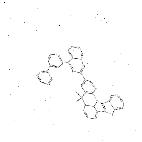 CC1(C)c2cc(-c3nc(-c4cccc(-c5ccccc5)c4)c4ccccc4n3)ccc2N2c3c(sc4ccccc34)C3=CC=CC1C32